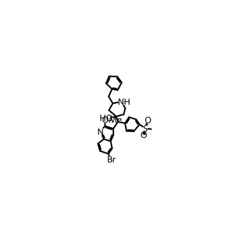 COc1nc2ccc(Br)cc2cc1C(c1ccc(S(C)(=O)=O)cc1)C1(O)CCNC(Cc2ccccc2)C1